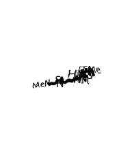 CNCCCc1nc(CCCCNc2nc(C)c(C(SC)c3nccs3)c(=O)[nH]2)cs1